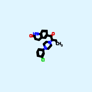 CCC(C(=O)c1ccc2c(c1)CCC(=O)N2)N1CCN(c2cccc(Cl)c2)CC1